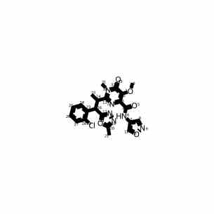 COc1c(C(=O)Nc2cnoc2)nc(C(C)C(c2nnc(C)o2)c2ccccc2Cl)n(C)c1=O